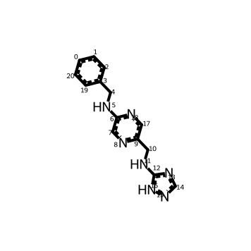 c1ccc(CNc2cnc(CNc3ncn[nH]3)cn2)cc1